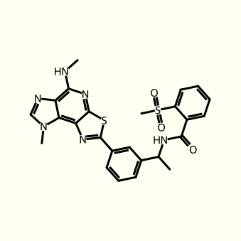 CNc1nc2sc(-c3cccc(C(C)NC(=O)c4ccccc4S(C)(=O)=O)c3)nc2c2c1ncn2C